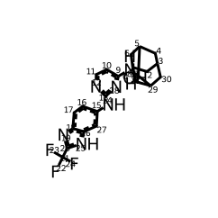 O[C@]12CC3CC(C1)[C@@H](Nc1ccnc(Nc4ccc5nc(C(F)(F)F)[nH]c5c4)n1)C(C3)C2